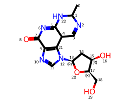 CC1N=CC2C(=NC(=O)c3ncn([C@H]4C[C@@H](O)[C@@H](CO)O4)c32)N1